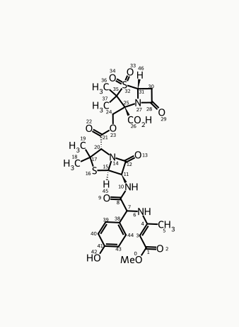 COC(=O)C=C(C)NC(C(=O)N[C@@H]1C(=O)N2[C@@H]1SC(C)(C)[C@@H]2C(=O)OC[C@@]1(C(=O)O)N2C(=O)C[C@H]2S(=O)(=O)C1(C)C)c1ccc(O)cc1